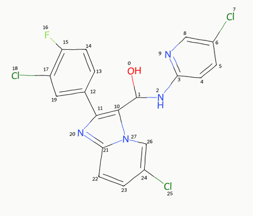 OC(Nc1ccc(Cl)cn1)c1c(-c2ccc(F)c(Cl)c2)nc2ccc(Cl)cn12